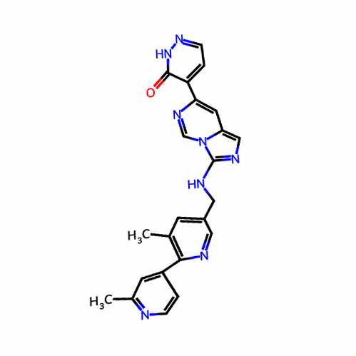 Cc1cc(-c2ncc(CNc3ncc4cc(-c5ccn[nH]c5=O)ncn34)cc2C)ccn1